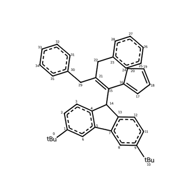 CC(C)(C)c1ccc2c(c1)-c1cc(C(C)(C)C)ccc1C2C(C1=CC=CC1)=C(Cc1ccccc1)Cc1ccccc1